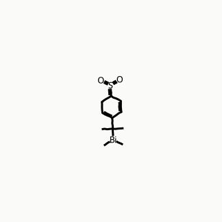 [CH3][Bi]([CH3])[C](C)(C)C1=CCC(=S(=O)=O)C=C1